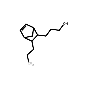 CCCC1C2C=CC(C2)C1CCCO